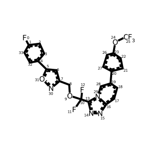 Fc1ccc(-c2cc(COC(F)(F)c3nnc4ccc(-c5ccc(OC(F)(F)F)cc5)cn34)no2)cc1